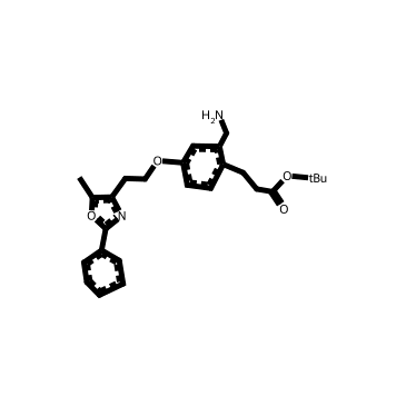 Cc1oc(-c2ccccc2)nc1CCOc1ccc(CCC(=O)OC(C)(C)C)c(CN)c1